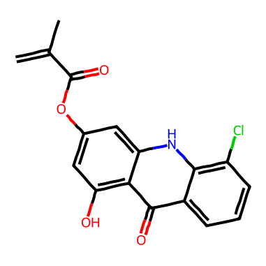 C=C(C)C(=O)Oc1cc(O)c2c(=O)c3cccc(Cl)c3[nH]c2c1